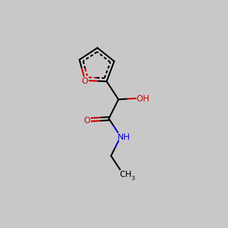 CCNC(=O)C(O)c1ccco1